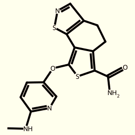 CNc1ccc(Oc2sc(C(N)=O)c3c2-c2sncc2CC3)cn1